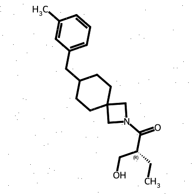 CC[C@H](CO)C(=O)N1CC2(CCC(Cc3cccc(C)c3)CC2)C1